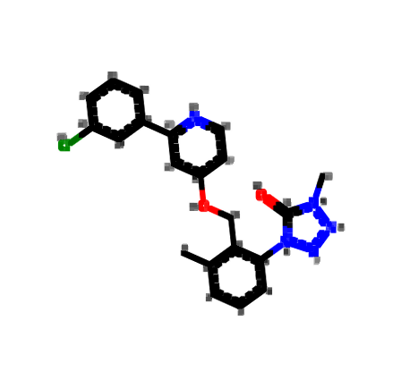 Cc1cccc(-n2nnn(C)c2=O)c1COc1ccnc(-c2cccc(Cl)c2)c1